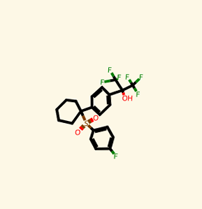 O=S(=O)(c1ccc(F)cc1)C1(c2ccc(C(O)(C(F)(F)F)C(F)(F)F)cc2)CCCCC1